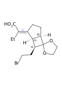 CC/C(C(=O)O)=C1/CC[C@@H]2[C@H]1[C@H](CCBr)C21OCCO1